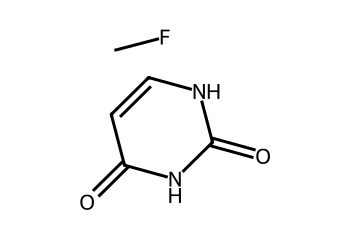 CF.O=c1cc[nH]c(=O)[nH]1